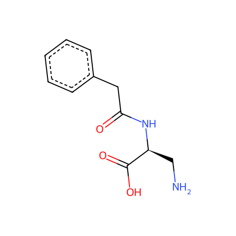 NC[C@H](NC(=O)Cc1ccccc1)C(=O)O